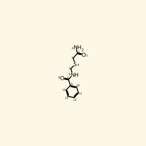 NC(=O)CSCNC(=O)c1ccccc1